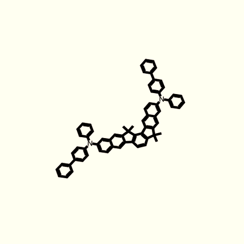 CC1(C)c2cc3cc(N(c4ccccc4)c4ccc(-c5ccccc5)cc4)ccc3cc2-c2c1ccc1c2C(C)(C)c2cc3cc(N(c4ccccc4)c4ccc(-c5ccccc5)cc4)ccc3cc2-1